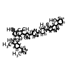 Cc1ncsc1-c1ccc([C@H](C)NC(=O)[C@@H]2C[C@@H](O)CN2C(=O)C(c2cc(-c3cnc(N4CCN(c5cc6nnc(-c7ccccc7O)cc6n5C)CC4)nc3)no2)C(C)C)cc1